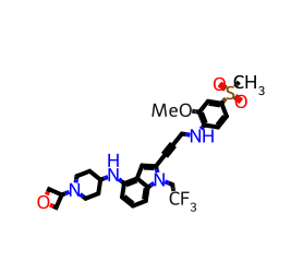 COc1cc(S(C)(=O)=O)ccc1NCC#Cc1cc2c(NC3CCN(C4COC4)CC3)cccc2n1CC(F)(F)F